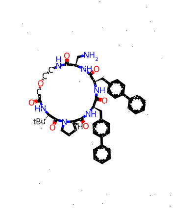 CC(C)(C)[C@@H]1NC(=O)COCCNC(=O)[C@@H](CN)NC(=O)[C@@H](Cc2ccc(-c3ccccc3)cc2)NC(=O)[C@@H](Cc2ccc(-c3ccccc3)cc2)NC(=O)[C@@H]2CCCN2C1=O